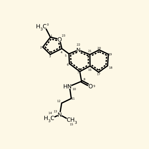 Cc1ccc(-c2cc(C(=O)NCCN(C)C)c3ccccc3n2)o1